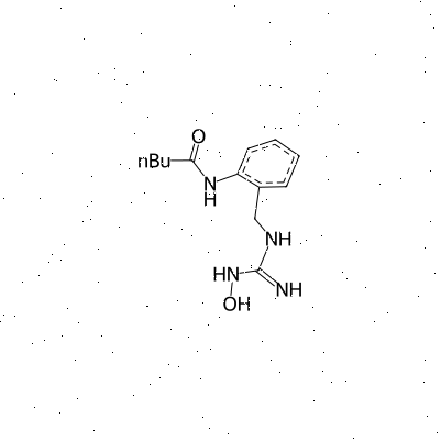 CCCCC(=O)Nc1ccccc1CNC(=N)NO